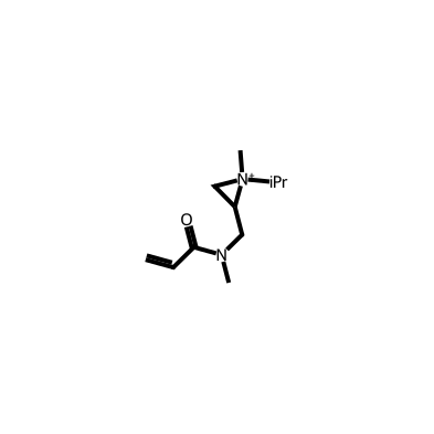 C=CC(=O)N(C)CC1C[N+]1(C)C(C)C